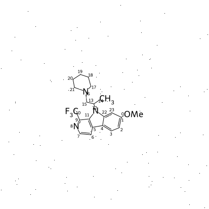 COc1ccc2c3ccnc(C(F)(F)F)c3n(C(C)CN3CCCCC3)c2c1